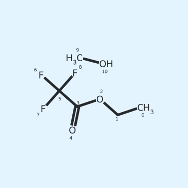 CCOC(=O)C(F)(F)F.CO